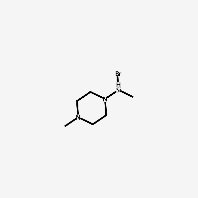 CN1CCN([SiH](C)Br)CC1